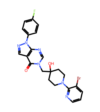 O=c1c2cnn(-c3ccc(F)cc3)c2ncn1CC1(O)CCN(c2ncccc2Br)CC1